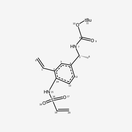 C=Cc1cc([C@@H](C)NC(=O)OC(C)(C)C)ccc1NS(=O)(=O)C=C